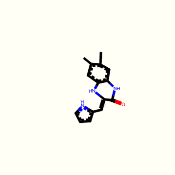 Cc1cc2c(cc1C)N/C(=C\c1ccc[nH]1)C(=O)N2